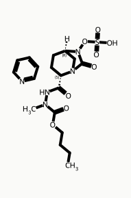 CCCCOC(=O)N(C)NC(=O)[C@@H]1CC[C@@H]2CN1C(=O)N2OS(=O)(=O)O.c1ccncc1